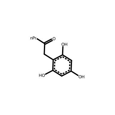 CCCC(=O)Cc1c(O)cc(O)cc1O